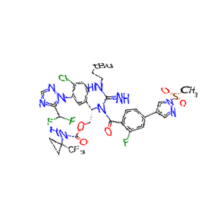 CC(C)(C)CCNC(=N)N(C(=O)c1ccc(-c2cnn(S(C)(=O)=O)c2)cc1F)[C@H](COC(=O)NC1(C(F)(F)F)CC1)c1ccc(Cl)c(-n2ncnc2C(F)F)c1